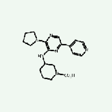 O=C(O)N1CCCC(Nc2nc(-c3ccncc3)cnc2N2CCCC2)C1